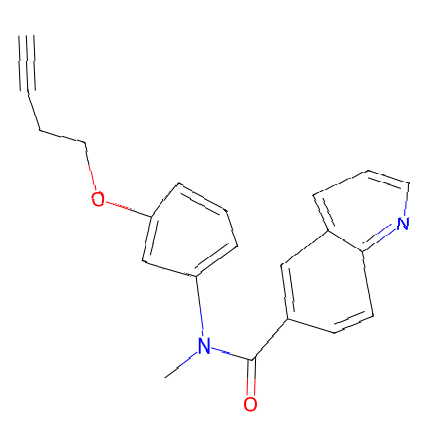 C#CCCOc1cccc(N(C)C(=O)c2ccc3ncccc3c2)c1